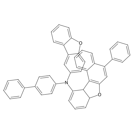 C1=CC2Oc3cc(-c4ccccc4)c4ccccc4c3C2C(N(c2ccc(-c3ccccc3)cc2)c2ccc3oc4ccccc4c3c2)=C1